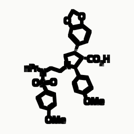 CCCN(CCN1C[C@H](c2ccc3c(c2)OCO3)[C@H](C(=O)O)[C@H]1c1ccc(OC)cc1)S(=O)(=O)c1ccc(OC)cc1